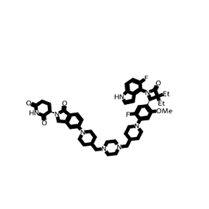 CCC1(CC)C(=O)N(c2c(F)ccc3[nH]ccc23)[C@H]1c1cc(F)c(N2CCC(CN3CCN(CC4CCN(c5ccc6c(c5)CN([C@H]5CCC(=O)NC5=O)C6=O)CC4)CC3)CC2)cc1OC